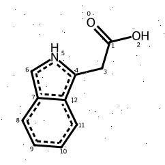 O=C(O)Cc1[nH]cc2ccccc12